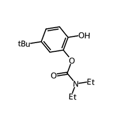 CCN(CC)C(=O)Oc1cc(C(C)(C)C)ccc1O